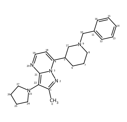 Cc1nn2c(C3CCCN(Cc4ccccc4)C3)ccnc2c1N1CCCC1